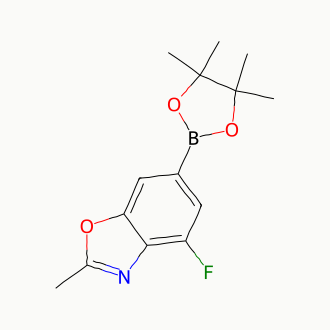 Cc1nc2c(F)cc(B3OC(C)(C)C(C)(C)O3)cc2o1